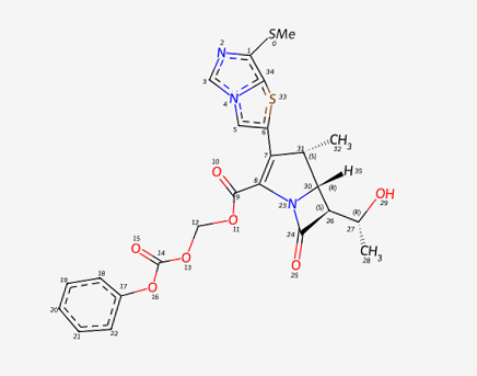 CSc1ncn2cc(C3=C(C(=O)OCOC(=O)Oc4ccccc4)N4C(=O)[C@H]([C@@H](C)O)[C@H]4[C@H]3C)sc12